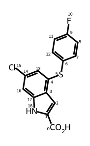 O=C(O)c1cc2c(Sc3ccc(F)cc3)cc(Cl)cc2[nH]1